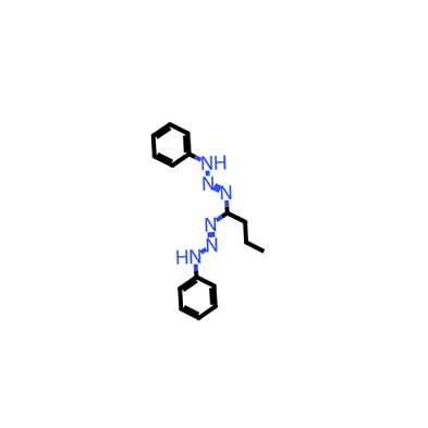 CCCC(N=NNc1ccccc1)N=NNc1ccccc1